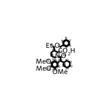 CCC(OCc1ccccc1)C1CCCN(C(=O)[C@H](c2cc(OC)c(OC)c(OC)c2)C2CCCCC2)C1C(=O)O